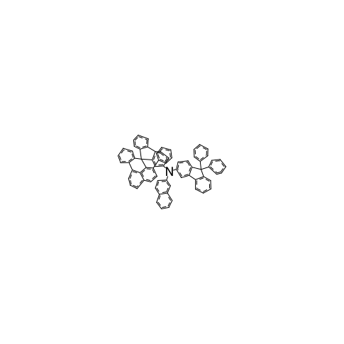 c1ccc(-c2ccc3cccc4c3c2C2(c3ccccc3-c3ccc(N(c5ccc6c(c5)-c5ccccc5C6(c5ccccc5)c5ccccc5)c5ccc6ccccc6c5)cc32)c2ccccc2-4)cc1